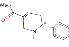 COC(=O)C1=CC[C@H](c2ccccc2)N(C)C1